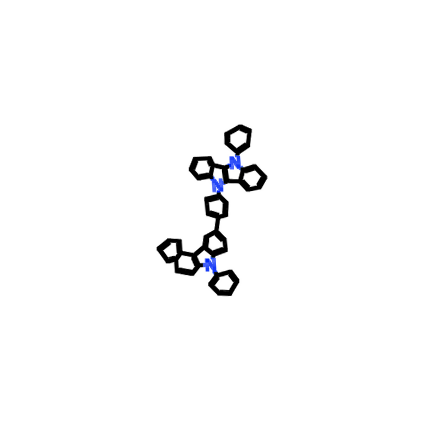 c1ccc(-n2c3ccc(-c4ccc(-n5c6ccccc6c6c5c5ccccc5n6-c5ccccc5)cc4)cc3c3c4ccccc4ccc32)cc1